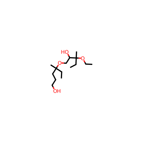 CCOC(C)(CC)C(O)COC(C)(CC)CCCO